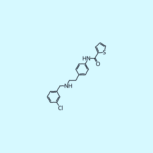 O=C(Nc1ccc(CCNCc2cccc(Cl)c2)cc1)c1cccs1